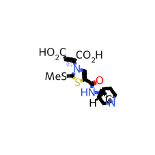 CSC1SC(C(=O)N[C@H]2CN3CCC2CC3)=CN1/C(=C/C(=O)O)C(=O)O